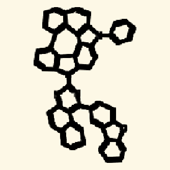 c1ccc(-n2c3ccc4cccc5c4c3c3c4c6c-5cccc6n(-c5nc(-c6ccc7oc8ccccc8c7c6)c6c(ccc7ccccc76)n5)c4ccc32)cc1